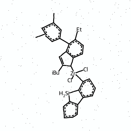 CCc1ccc2c(c1-c1cc(C)cc(C)c1)C=C(C(C)CC)[CH]2[Zr]([Cl])([Cl])[c]1cccc2c1[SiH2]c1ccccc1-2